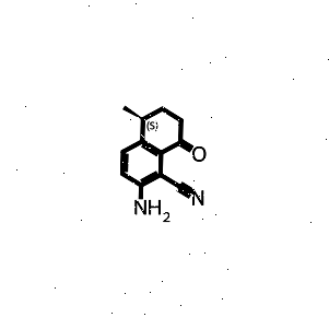 C[C@H]1CCC(=O)c2c1ccc(N)c2C#N